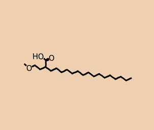 CCCCCCCCCCCCCCCCC(CCOC)C(=O)O